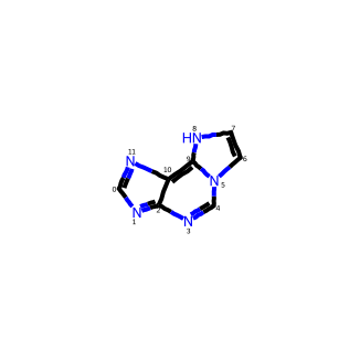 c1nc2ncn3cc[nH]c3c-2n1